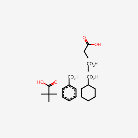 CC(=O)O.CC(C)(C)C(=O)O.CCC(=O)O.O=C(O)C1CCCCC1.O=C(O)c1ccccc1